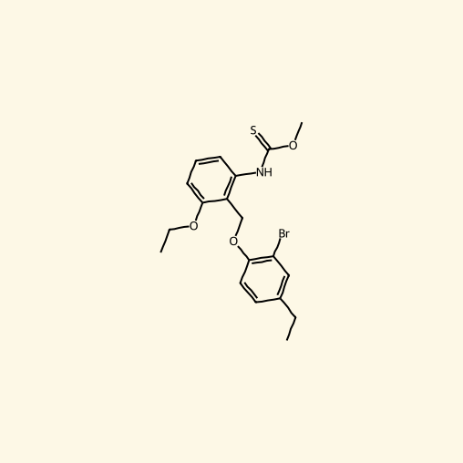 CCOc1cccc(NC(=S)OC)c1COc1ccc(CC)cc1Br